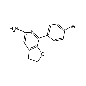 CC(C)c1ccc(-c2nc(N)cc3c2OCC3)cc1